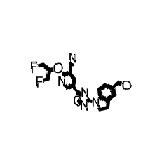 N#Cc1cc(-c2nc(N3CCc4cc(C=O)ccc43)no2)cnc1OC(CF)CF